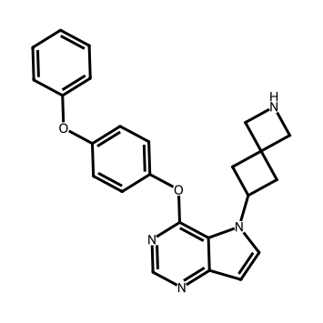 c1ccc(Oc2ccc(Oc3ncnc4ccn(C5CC6(CNC6)C5)c34)cc2)cc1